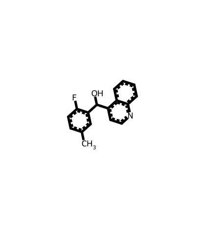 Cc1ccc(F)c(C(O)c2ccnc3ccccc23)c1